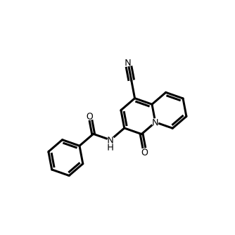 N#Cc1cc(NC(=O)c2ccccc2)c(=O)n2ccccc12